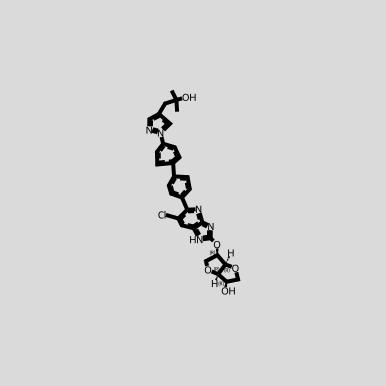 CC(C)(O)Cc1cnn(-c2ccc(-c3ccc(-c4nc5nc(O[C@@H]6CO[C@H]7[C@@H]6OC[C@H]7O)[nH]c5cc4Cl)cc3)cc2)c1